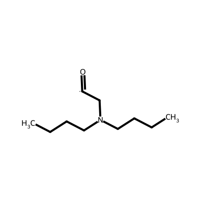 CCCCN(C[C]=O)CCCC